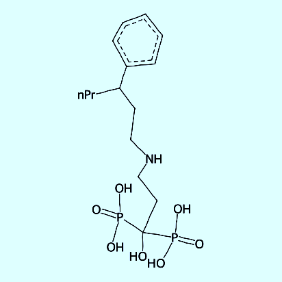 CCCC(CCNCCC(O)(P(=O)(O)O)P(=O)(O)O)c1ccccc1